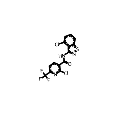 O=C(Nc1nsc2cccc(Cl)c12)c1ccc(C(F)(F)F)nc1Cl